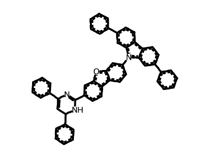 C1=C(c2ccccc2)N=C(c2ccc3c(c2)oc2cc(-n4c5cc(-c6ccccc6)ccc5c5ccc(-c6ccccc6)cc54)ccc23)NC1c1ccccc1